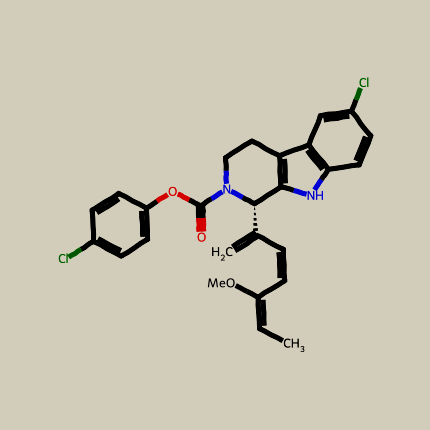 C=C(/C=C\C(=C/C)OC)[C@H]1c2[nH]c3ccc(Cl)cc3c2CCN1C(=O)Oc1ccc(Cl)cc1